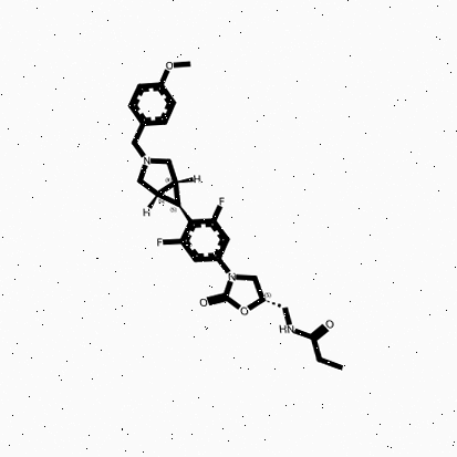 CCC(=O)NC[C@H]1CN(c2cc(F)c([C@H]3[C@@H]4CN(Cc5ccc(OC)cc5)C[C@@H]43)c(F)c2)C(=O)O1